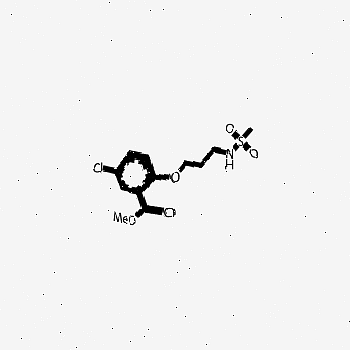 COC(=O)c1cc(Cl)ccc1OCCCNS(C)(=O)=O